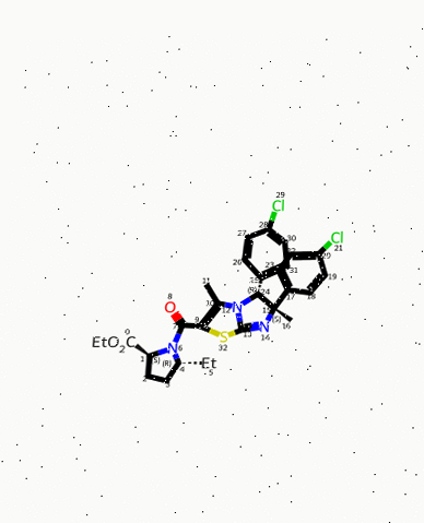 CCOC(=O)[C@@H]1CC[C@@H](CC)N1C(=O)C1=C(C)N2C(=N[C@@](C)(c3ccc(Cl)cc3)[C@H]2c2ccc(Cl)cc2)S1